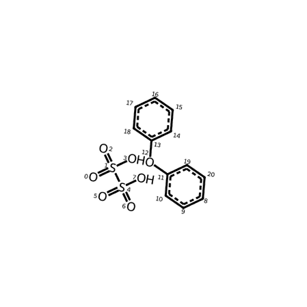 O=S(=O)(O)S(=O)(=O)O.c1ccc(Oc2ccccc2)cc1